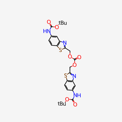 CC(C)(C)OC(=O)Nc1ccc2sc(COC(=O)OCc3nc4cc(NC(=O)OC(C)(C)C)ccc4s3)nc2c1